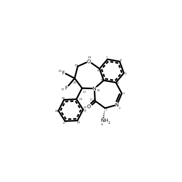 N[C@H]1N=Cc2cccc3c2N(C1=O)C(c1ccccc1)C(F)(F)CO3